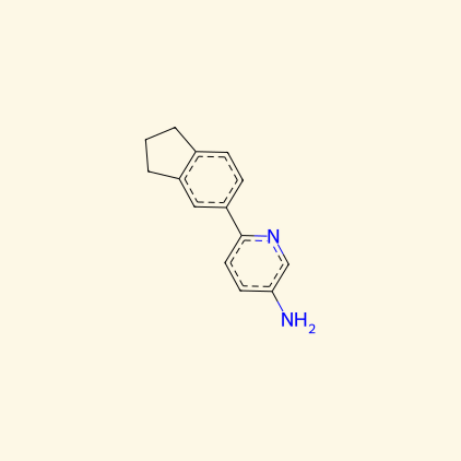 Nc1ccc(-c2ccc3c(c2)CCC3)nc1